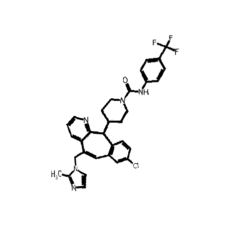 Cc1nccn1CC1=Cc2cc(Cl)ccc2C(C2CCN(C(=O)Nc3ccc(C(F)(F)F)cc3)CC2)c2ncccc21